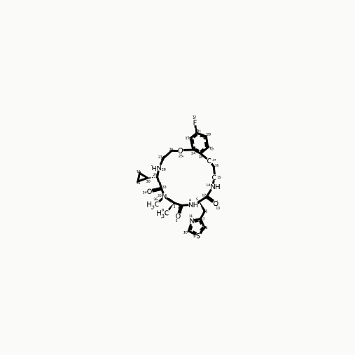 C[C@@H]1C(=O)N[C@H](Cc2cscn2)C(=O)NCCCc2ccc(F)cc2OCCN[C@@H](C2CC2)C(=O)N1C